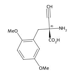 C#C[C@](N)(Cc1cc(OC)ccc1OC)C(=O)O